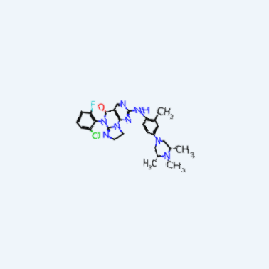 Cc1cc(N2C[C@@H](C)N(C)[C@@H](C)C2)ccc1Nc1ncc2c(n1)N1CCN=C1N(c1c(F)cccc1Cl)C2=O